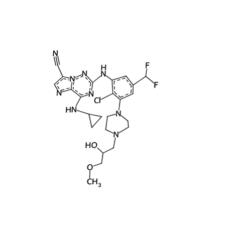 COCC(O)CN1CCN(c2cc(C(F)F)cc(Nc3nc(NC4CC4)c4ncc(C#N)n4n3)c2Cl)CC1